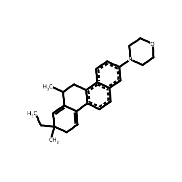 CCC1(C)C=C2C(=CC1)c1ccc3cc(N4CCOCC4)ccc3c1CC2C